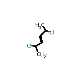 [CH2]C(Cl)C=CC(C)Cl